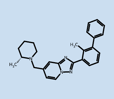 Cc1c(-c2ccccc2)cccc1-c1nc2cc(CN3CCCC[C@H]3C)ccn2n1